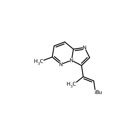 CCC(C)/C=C(\C)c1cnc2ccc(C)nn12